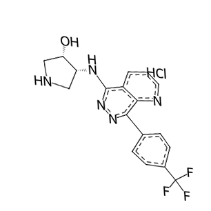 Cl.O[C@H]1CNC[C@H]1Nc1nnc(-c2ccc(C(F)(F)F)cc2)c2ncccc12